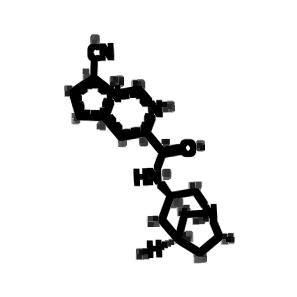 N#Cc1ccc2cc(C(=O)N[C@@H]3C[C@@H]4CCN(C4)C3)ncn12